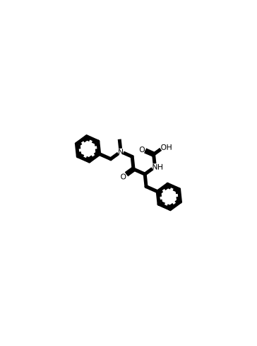 CN(CC(=O)C(Cc1ccccc1)NC(=O)O)Cc1ccccc1